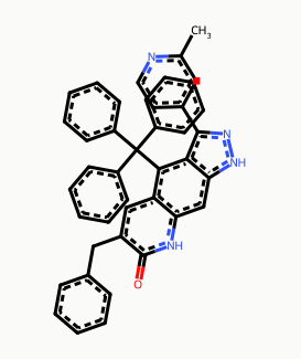 Cc1cc(-c2n[nH]c3cc4[nH]c(=O)c(Cc5ccccc5)cc4c(C(c4ccccc4)(c4ccccc4)c4ccccc4)c23)ccn1